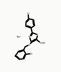 O=C([O-])c1sc(-c2ccc(Cl)cc2)nc1OCc1ccccc1Cl.[Na+]